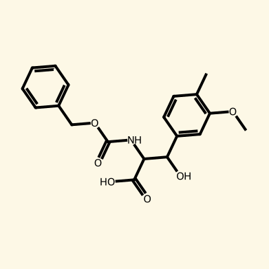 COc1cc(C(O)C(NC(=O)OCc2ccccc2)C(=O)O)ccc1C